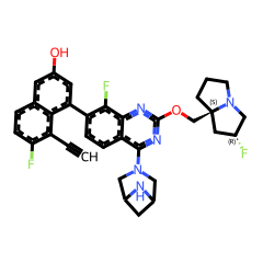 C#Cc1c(F)ccc2cc(O)cc(-c3ccc4c(N5CC6CC(C5)N6)nc(OC[C@@]56CCCN5C[C@H](F)C6)nc4c3F)c12